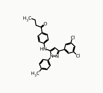 CCCC(=O)c1ccc(Nc2cc(-c3cc(Cl)cc(Cl)c3)nn2-c2ccc(C)cc2)cc1